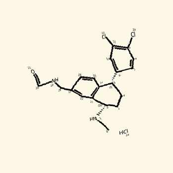 CN[C@H]1CC[C@@H](c2ccc(Cl)c(Cl)c2)c2ccc(CNC=O)cc21.Cl